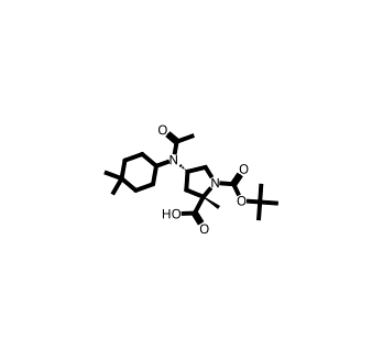 CC(=O)N(C1CCC(C)(C)CC1)[C@@H]1CN(C(=O)OC(C)(C)C)[C@](C)(C(=O)O)C1